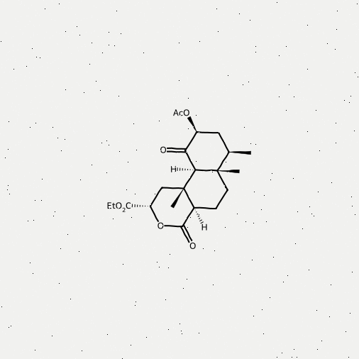 CCOC(=O)[C@@H]1C[C@]2(C)[C@H]3C(=O)[C@@H](OC(C)=O)C[C@@H](C)[C@]3(C)CC[C@H]2C(=O)O1